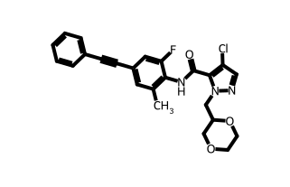 Cc1cc(C#Cc2ccccc2)cc(F)c1NC(=O)c1c(Cl)cnn1CC1COCCO1